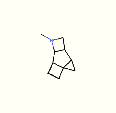 CN1CC2C1C1CCC13CC23